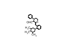 CC1CN(c2ccccc2C=C2SCCN(c3ccccc3)C2C=O)CC(C)N1C